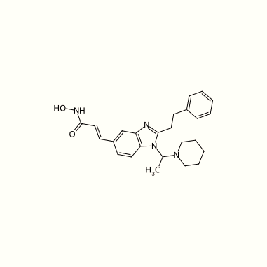 CC(N1CCCCC1)n1c(CCc2ccccc2)nc2cc(C=CC(=O)NO)ccc21